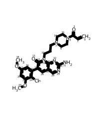 C=CC(=O)N1CCN(CCCn2c(=O)c(-c3cc(OC)cc(OC)c3Cl)cc3cnc(N)nc32)CC1